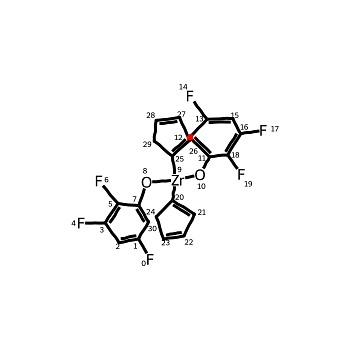 Fc1cc(F)c(F)c([O][Zr]([O]c2cc(F)cc(F)c2F)([C]2=CC=CC2)[C]2=CC=CC2)c1